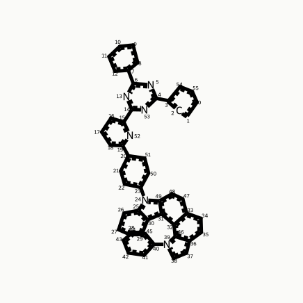 c1ccc(-c2nc(-c3ccccc3)nc(-c3cccc(-c4ccc(-n5c6ccccc6c6c7c(ccc8ccn(-c9ccccc9)c87)ccc65)cc4)n3)n2)cc1